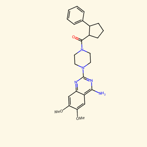 COc1cc2nc(N3CCN(C(=O)C4CCCC4c4ccccc4)CC3)nc(N)c2cc1OC